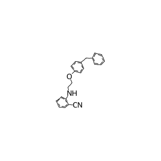 N#Cc1ccccc1NCCOc1ccc(Cc2ccccc2)cc1